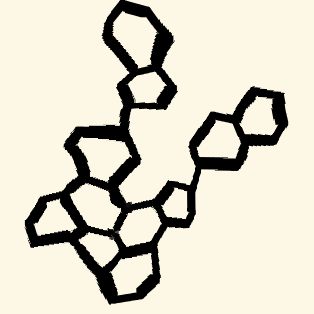 c1ccc2cc(-c3ccc4c(c3)B3c5cc(-c6ccc7ccccc7c6)ccc5-c5cccc6c7cccc-4c7n3c56)ccc2c1